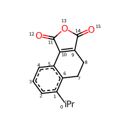 CC(C)c1cccc2c1CCC1=C2C(=O)OC1=O